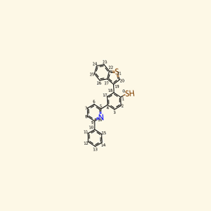 Sc1ccc(-c2cccc(-c3ccccc3)n2)cc1-c1csc2ccccc12